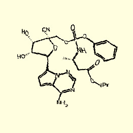 CC(C)OC(=O)C[C@H](C)NP(=O)(OC[C@@]1(C#N)O[C@@H](c2ccc3c(N)ncnn23)[C@H](O)[C@@H]1O)Oc1ccccc1